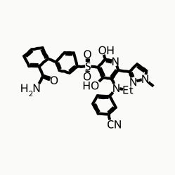 CCN(c1cccc(C#N)c1)c1c(-c2ccn(C)n2)nc(O)c(S(=O)(=O)c2ccc(-c3ccccc3C(N)=O)cc2)c1O